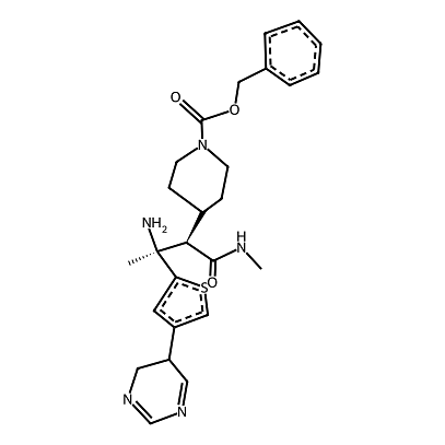 CNC(=O)[C@H](C1CCN(C(=O)OCc2ccccc2)CC1)[C@](C)(N)c1cc(C2C=NC=NC2)cs1